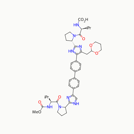 COC(=O)N[C@H](C(=O)N1CCCC1c1nc(-c2ccc(-c3ccc(-c4[nH]c([C@@H]5CCCN5C(=O)[C@@H](NC(=O)O)C(C)C)nc4CC4OCCCO4)cc3)cc2)c[nH]1)C(C)C